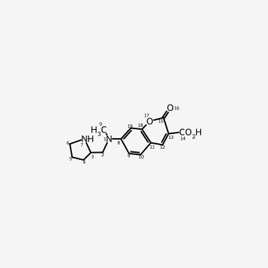 CN(CC1CCCN1)c1ccc2cc(C(=O)O)c(=O)oc2c1